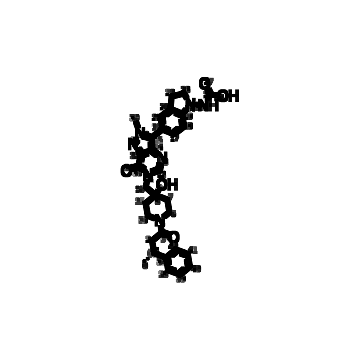 C[C@H](CC(=O)N1CCC(O)(Cn2cnc3c(-c4ccc5c(c4)CCN5NC(=O)O)n(C)nc3c2=O)CC1)c1ccccc1